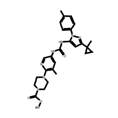 Cc1ccc(-n2nc(C3(C)CC3)cc2NC(=O)Nc2cnc(N3CCN(C(=O)OC(C)(C)C)CC3)c(C)c2)cc1